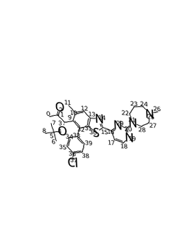 CC(=O)[C@@H](OC(C)(C)C)c1c(C)cc2nc(-c3ccnc(N4CCCN(C)CC4)n3)sc2c1-c1ccc(Cl)cc1